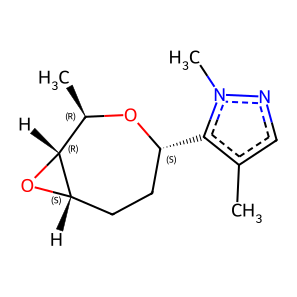 Cc1cnn(C)c1[C@@H]1CC[C@@H]2O[C@@H]2[C@@H](C)O1